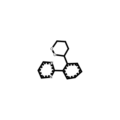 c1cnc(-c2ccccc2C2CCCOO2)nc1